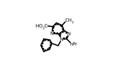 CCCc1nc2c(C)cc(C(=O)O)nc2n1Cc1ccccc1